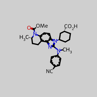 COC(=O)N1c2ccc3c(nc(N(C)c4ccc(C#N)cc4)n3[C@@H]3CCC[C@@H](C(=O)O)C3)c2CC[C@@H]1C